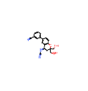 N#CN=C1CC(CO)(CO)Oc2ccc(-c3cccc(C#N)c3)cc21